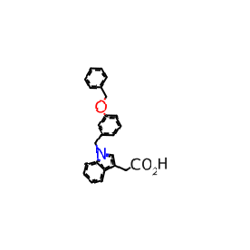 O=C(O)Cc1cn(Cc2cccc(OCc3ccccc3)c2)c2ccccc12